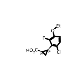 CCOc1ccc(Cl)c([C@H]2C[C@H]2C(=O)O)c1F